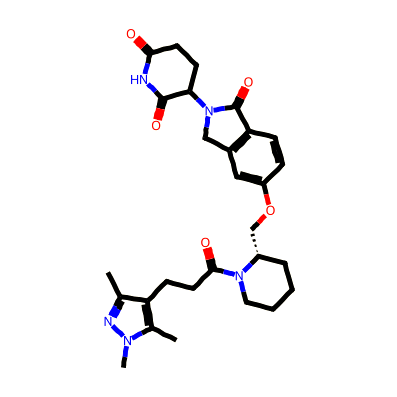 Cc1nn(C)c(C)c1CCC(=O)N1CCCC[C@H]1COc1ccc2c(c1)CN(C1CCC(=O)NC1=O)C2=O